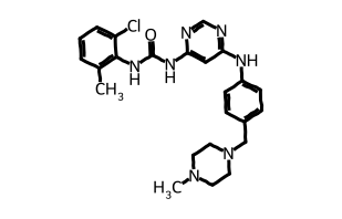 Cc1cccc(Cl)c1NC(=O)Nc1cc(Nc2ccc(CN3CCN(C)CC3)cc2)ncn1